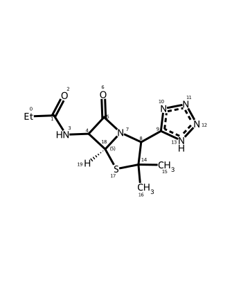 CCC(=O)NC1C(=O)N2C(c3nnn[nH]3)C(C)(C)S[C@@H]12